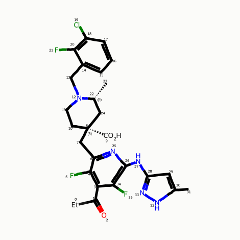 CCC(=O)c1c(F)c(C[C@@]2(C(=O)O)CCN(Cc3cccc(Cl)c3F)[C@H](C)C2)nc(Nc2cc(C)[nH]n2)c1F